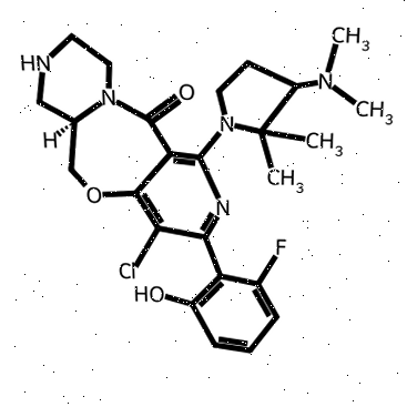 CN(C)C1CCN(c2nc(-c3c(O)cccc3F)c(Cl)c3c2C(=O)N2CCNC[C@@H]2CO3)C1(C)C